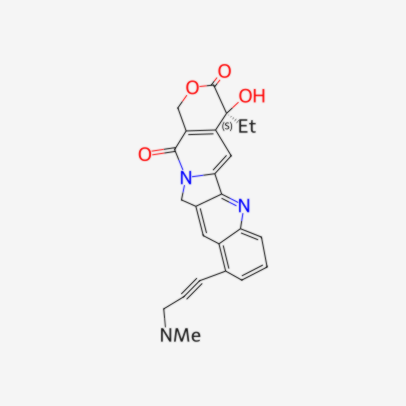 CC[C@@]1(O)C(=O)OCc2c1cc1n(c2=O)Cc2cc3c(C#CCNC)cccc3nc2-1